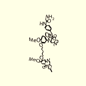 C=C1CC2C=Nc3cc(OCCCCCOc4cc(N(CC5CCCN5C)C(=O)OCc5ccc(NC(=O)CN)cc5)c(C=O)cc4OC)c(OC)cc3C(=O)N2C1